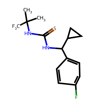 CC(C)(NC(=S)NC(c1ccc(F)cc1)C1CC1)C(F)(F)F